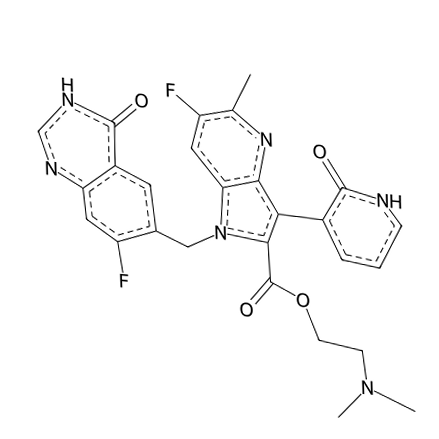 Cc1nc2c(-c3ccc[nH]c3=O)c(C(=O)OCCN(C)C)n(Cc3cc4c(=O)[nH]cnc4cc3F)c2cc1F